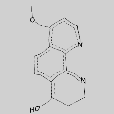 COc1ccnc2c3c(ccc12)=C(O)CCN=3